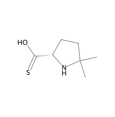 CC1(C)CC[C@@H](C(O)=S)N1